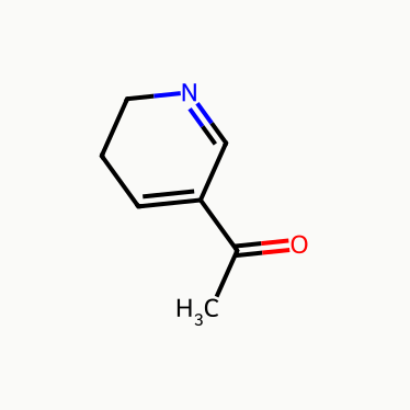 CC(=O)C1=CCCN=C1